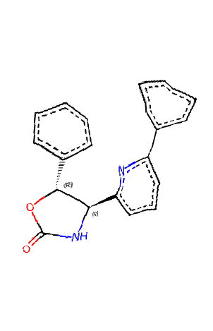 O=C1N[C@H](c2cccc(-c3ccccc3)n2)[C@@H](c2ccccc2)O1